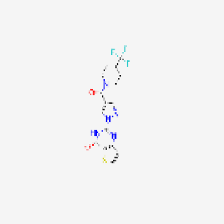 O=C(c1cnn(-c2nc3ccsc3c(=O)[nH]2)c1)N1CCC(C(F)(F)F)CC1